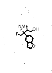 CNC(CO)C(F)(CF)c1ccc2occc2c1